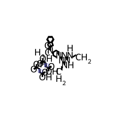 C=CCNc1nc(NCC=C)nc(N2CCC(N(C)c3cc4ccccc4o3)CC2)n1.O=C(O)/C=C/C(=O)O.O=C(O)/C=C/C(=O)O